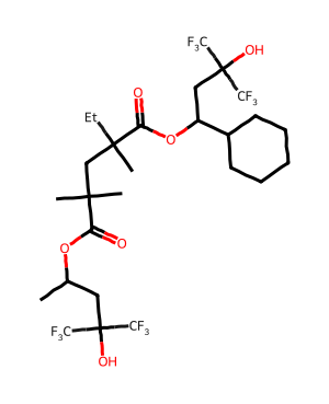 CCC(C)(CC(C)(C)C(=O)OC(C)CC(O)(C(F)(F)F)C(F)(F)F)C(=O)OC(CC(O)(C(F)(F)F)C(F)(F)F)C1CCCCC1